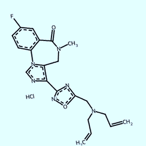 C=CCN(CC=C)Cc1nc(-c2ncn3c2CN(C)C(=O)c2cc(F)ccc2-3)no1.Cl